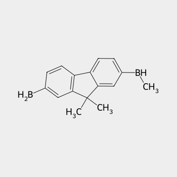 Bc1ccc2c(c1)C(C)(C)c1cc(BC)ccc1-2